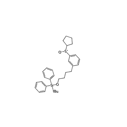 CC(C)(C)[Si](OCCCCc1cccc([S+]([O-])C2CCCC2)c1)(c1ccccc1)c1ccccc1